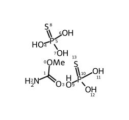 COC(N)=O.OP(O)(O)=S.OP(O)(O)=S